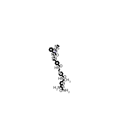 CC(NC(=O)C1CCN(CCNC(=O)c2ccc(-c3csc(N4N=C(c5ccccc5)/C(=N\Nc5nccs5)C4=O)n3)cc2)CC1)c1ccc2c(N)c(C(N)=O)sc2n1